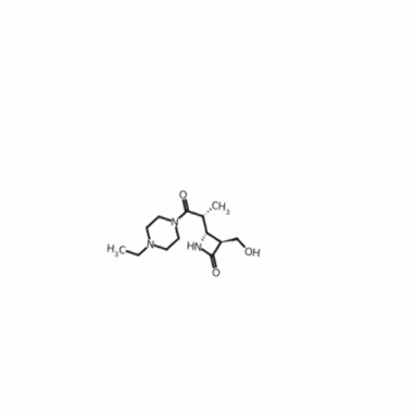 CCN1CCN(C(=O)[C@H](C)[C@H]2NC(=O)[C@@H]2CO)CC1